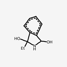 [CH2]CC1(O)NC(O)c2ccccc21